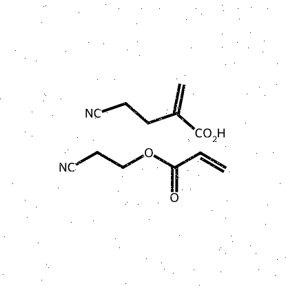 C=C(CCC#N)C(=O)O.C=CC(=O)OCCC#N